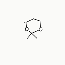 CC1(C)O[CH]CCO1